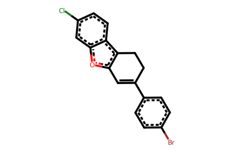 Clc1ccc2c3c(oc2c1)C=C(c1ccc(Br)cc1)CC3